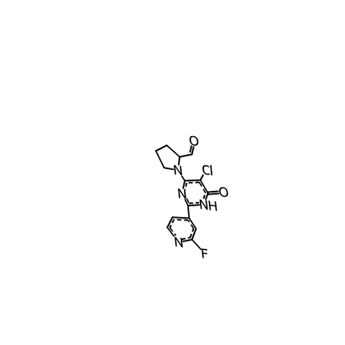 O=CC1CCCN1c1nc(-c2ccnc(F)c2)[nH]c(=O)c1Cl